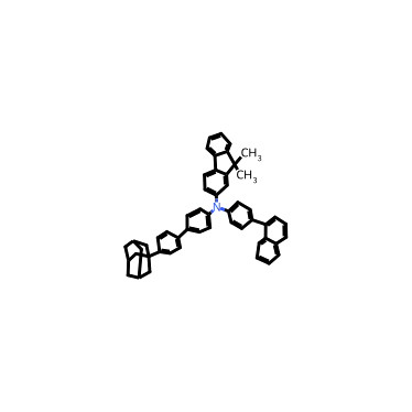 CC1(C)c2ccccc2-c2ccc(N(c3ccc(-c4ccc(C56CC7CC(CC(C7)C5)C6)cc4)cc3)c3ccc(-c4cccc5ccccc45)cc3)cc21